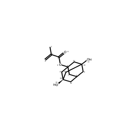 C=C(C)C(=O)OC12CC3CC(O)(C1)C[C@](O)(C3)C2